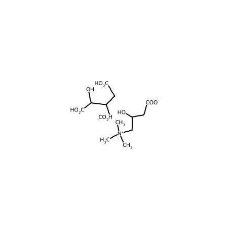 C[N+](C)(C)CC(O)CC(=O)[O-].O=C(O)CC(C(=O)O)C(O)C(=O)O